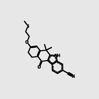 CSCCOC1=CC2=C(CC1)C(=O)c1c([nH]c3cc(C#N)ccc13)C2(C)C